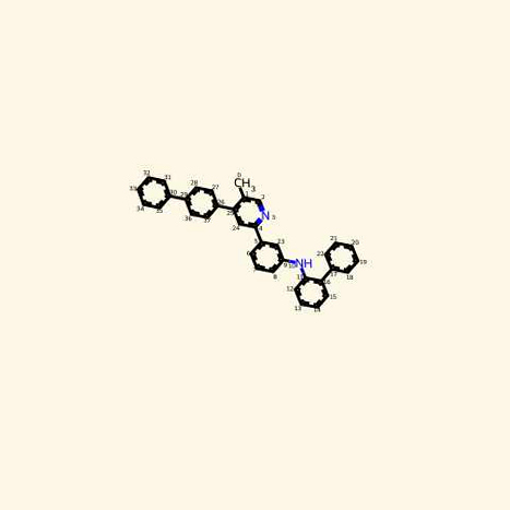 Cc1cnc(-c2cccc(Nc3ccccc3-c3ccccc3)c2)cc1-c1ccc(-c2ccccc2)cc1